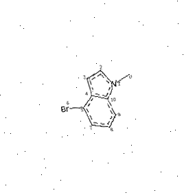 Cn1c[c]c2c(Br)cccc21